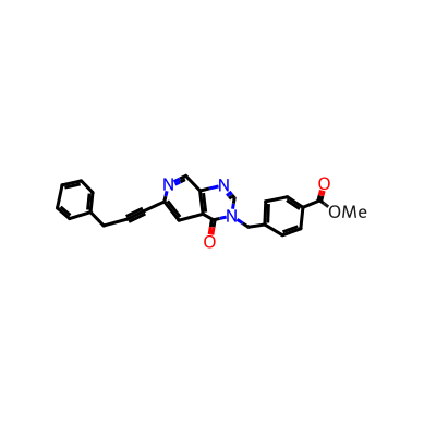 COC(=O)c1ccc(Cn2cnc3cnc(C#CCc4ccccc4)cc3c2=O)cc1